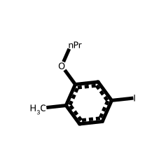 CCCOc1cc(I)ccc1C